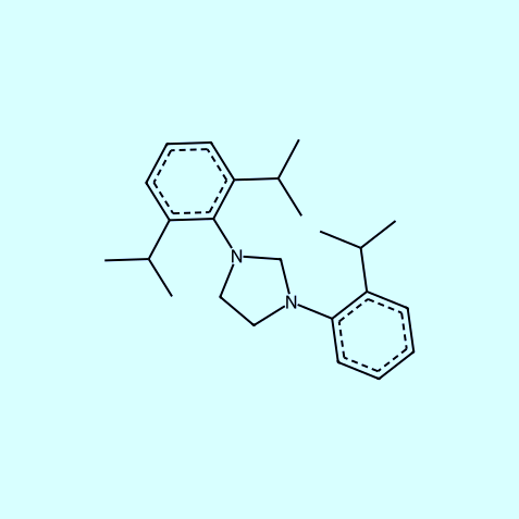 CC(C)c1ccccc1N1CCN(c2c(C(C)C)cccc2C(C)C)C1